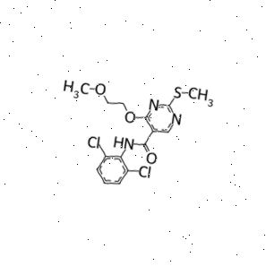 COCCOc1nc(SC)ncc1C(=O)Nc1c(Cl)cccc1Cl